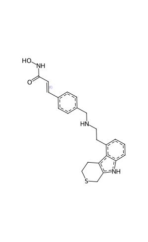 O=C(/C=C/c1ccc(CNCCc2cccc3[nH]c4c(c23)CCSC4)cc1)NO